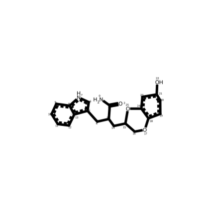 NC(=O)C(Cc1c[nH]c2ccccc12)CC1COc2ccc(O)cc2O1